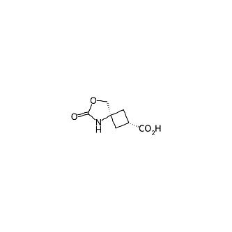 O=C1N[C@]2(CO1)C[C@@H](C(=O)O)C2